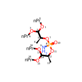 CCCOC(OCCC)[C@H](C)OP(N)(=O)O[C@@H](C)C(OCCC)OCCC